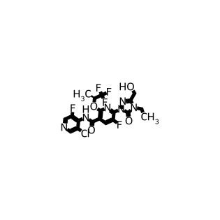 CCn1c(CO)nn(-c2nc(O[C@@H](C)C(F)(F)F)c(C(=O)Nc3c(F)cncc3Cl)cc2F)c1=O